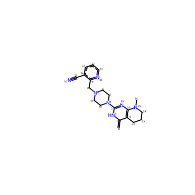 C=C1NC(N2CCN(Cc3ncccc3C#N)CC2)=NC2=C1CCCN2C